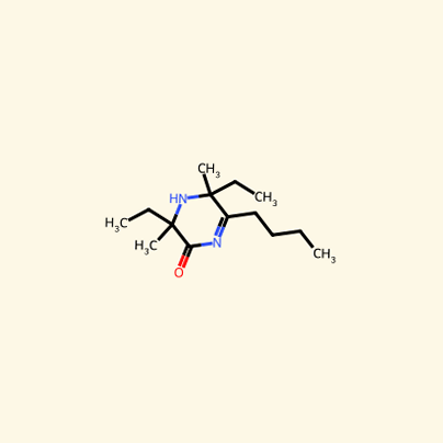 CCCCC1=NC(=O)C(C)(CC)NC1(C)CC